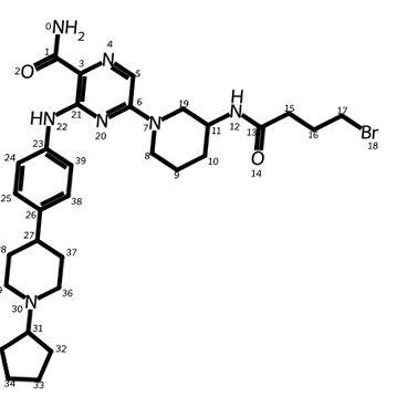 NC(=O)c1ncc(N2CCCC(NC(=O)CCCBr)C2)nc1Nc1ccc(C2CCN(C3CCCC3)CC2)cc1